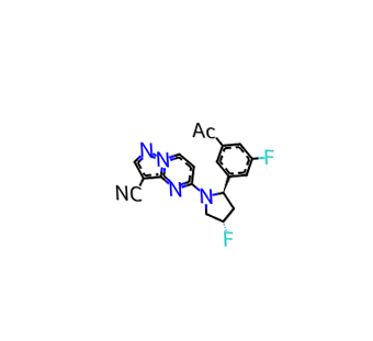 CC(=O)c1cc(F)cc([C@H]2C[C@H](F)CN2c2ccn3ncc(C#N)c3n2)c1